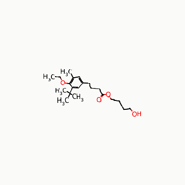 CCOc1c(C)cc(CCCC(=O)OCCCCO)cc1C(C)(C)C